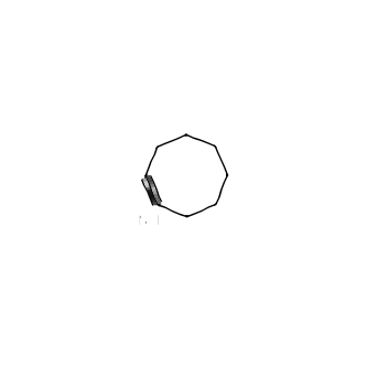 C1#CCCCCCC1.N